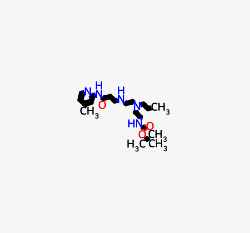 CCCN(CCNCCC(=O)Nc1cc(C)ccn1)CCNC(=O)OC(C)(C)C